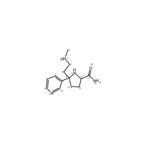 CNCCC1(c2cccnc2)NC(C(N)=O)CS1